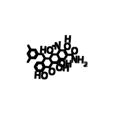 Cc1cc(C)cc(CC2c3cccc(O)c3C(=O)C3=C(O)C4(O)CC(C(N)=O)=C(O)C(N(C)C)C4C(O)C32)c1